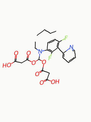 CCCC.CCN(c1ccc(F)c(-c2ccccn2)c1F)C(OC(=O)CC(=O)O)OC(=O)CC(=O)O